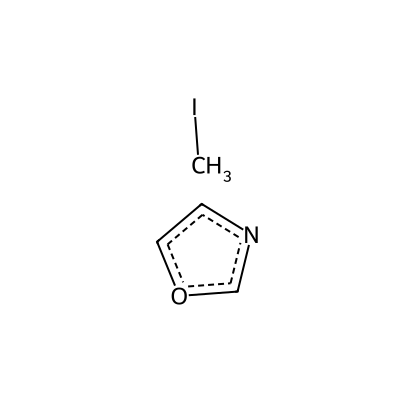 CI.c1cocn1